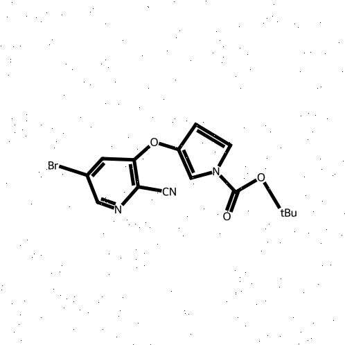 CC(C)(C)OC(=O)n1ccc(Oc2cc(Br)cnc2C#N)c1